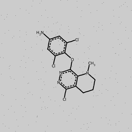 CN1CCCc2c(Cl)nnc(Oc3c(Cl)cc(N)cc3Cl)c21